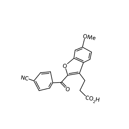 COc1ccc2c(CCC(=O)O)c(C(=O)c3ccc(C#N)cc3)oc2c1